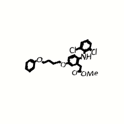 COC(=O)Cc1cc(OCCCCOc2ccccc2)ccc1Nc1c(Cl)cccc1Cl